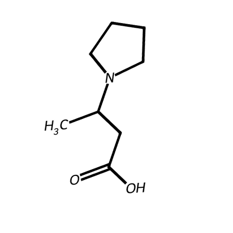 CC(CC(=O)O)N1CCCC1